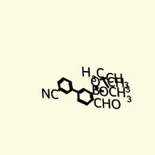 CC1(C)OB(c2cc(-c3cccc(C#N)c3)ccc2C=O)OC1(C)C